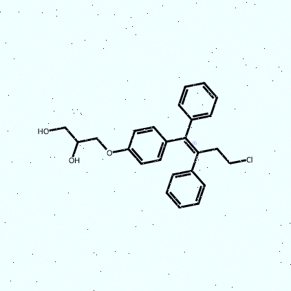 OCC(O)COc1ccc(/C(=C(/CCCl)c2ccccc2)c2ccccc2)cc1